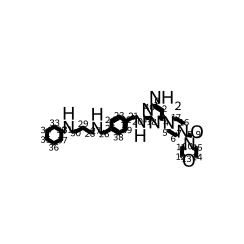 Nc1cc(N2CCN(C(=O)N3CCOCC3)CC2)nc(NCc2ccc(CNCCCNC3CCCCC3)cc2)n1